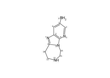 Bc1cnc2c(c1)nc1n2CCNCC1